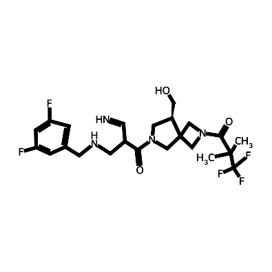 CC(C)(C(=O)N1CC2(CN(C(=O)C(C=N)CNCc3cc(F)cc(F)c3)C[C@H]2CO)C1)C(F)(F)F